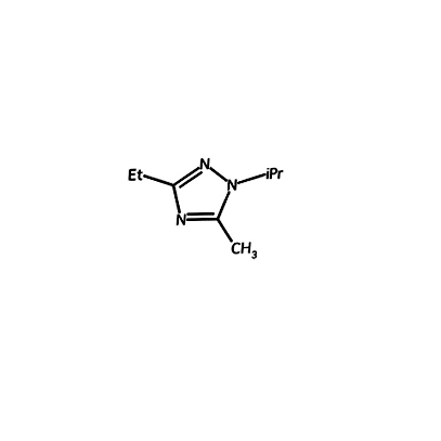 CCc1nc(C)n(C(C)C)n1